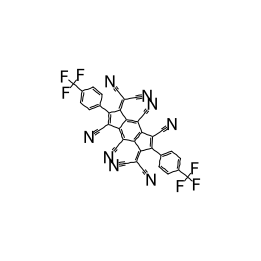 N#CC(C#N)=C1C(c2ccc(C(F)(F)F)cc2)=C(C#N)c2c(C#N)c3c(c(C#N)c21)C(C#N)=C(c1ccc(C(F)(F)F)cc1)C3=C(C#N)C#N